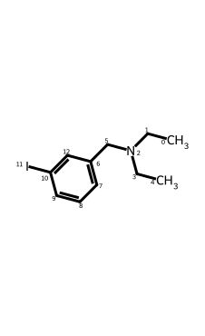 CCN(CC)Cc1cccc(I)c1